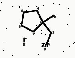 CC1([CH2][Zn+])CCCC1.[I-]